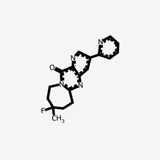 CC1(F)CCc2nc3cc(-c4ccccn4)cnc3c(=O)n2CC1